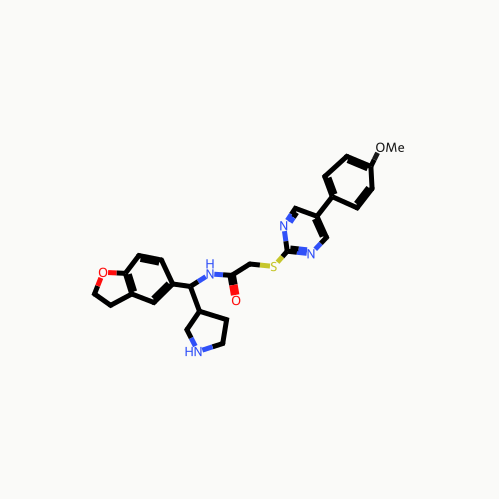 COc1ccc(-c2cnc(SCC(=O)NC(c3ccc4c(c3)CCO4)C3CCNC3)nc2)cc1